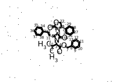 CC(C)C(C(=O)OCc1ccccc1)N1C(=O)[C@@H](N2C(=O)OC[C@@H]2c2ccccc2)[C@H]1C=Cc1ccccc1